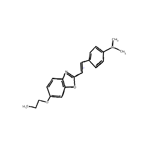 CCCOc1ccc2nc(/C=C/c3ccc(N(C)C)cc3)oc2c1